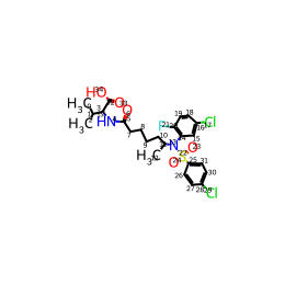 CC(C)[C@H](NC(=O)CCCCC(C)N(c1cc(Cl)ccc1F)S(=O)(=O)c1ccc(Cl)cc1)C(=O)O